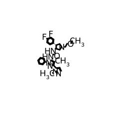 COCCN1C[C@@H](NC(=O)Nc2c(C)c(-c3ccnn3C)nn2-c2ccccc2)[C@H](c2ccc(F)c(F)c2)C1